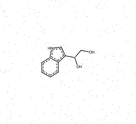 OCC(O)c1c[nH]c2ccccc12